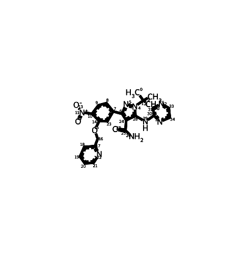 CC(C)(C)n1nc(-c2ccc([N+](=O)[O-])c(OCc3ccccn3)c2)c(C(N)=O)c1Nc1cnccn1